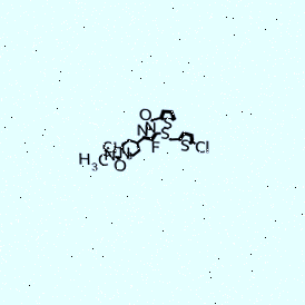 CN(C)C(=O)N1CCC(c2nn(C(=O)c3cccs3)c(SCc3ccc(Cl)s3)c2F)CC1